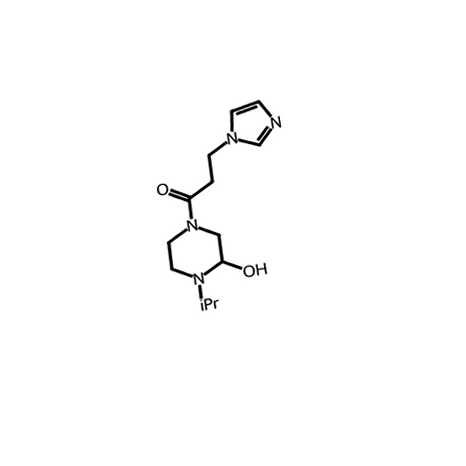 CC(C)N1CCN(C(=O)CCn2ccnc2)CC1O